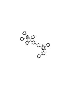 c1ccc(-c2cccc(-c3nc(-c4ccccc4)nc(-c4ccc(-c5ccc(-c6c(-c7ccccc7)n7nc(-c8ccccc8)c(-c8ccccc8)c7c7ccccc67)cc5)cc4)n3)c2)cc1